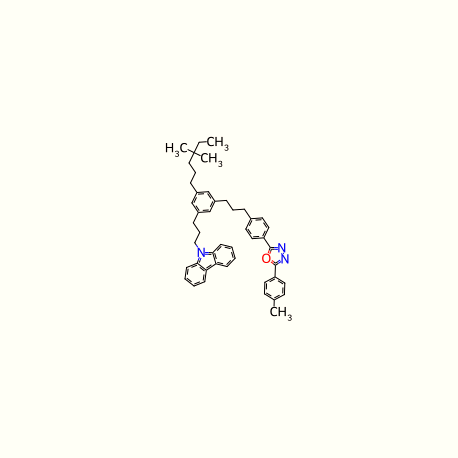 CCC(C)(C)CCCc1cc(CCCc2ccc(-c3nnc(-c4ccc(C)cc4)o3)cc2)cc(CCCn2c3ccccc3c3ccccc32)c1